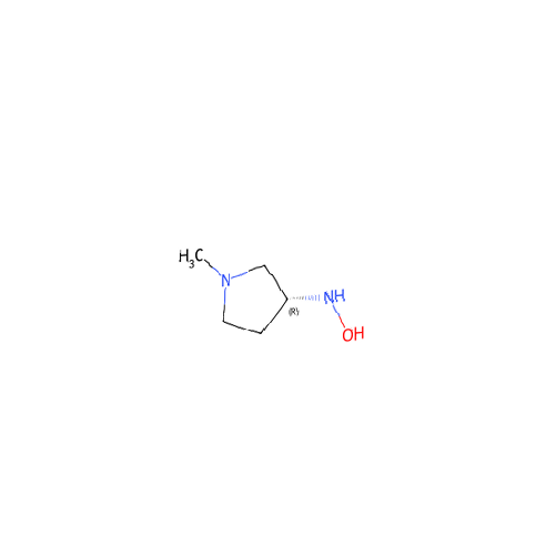 CN1CC[C@@H](NO)C1